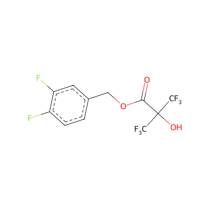 O=C(OCc1ccc(F)c(F)c1)C(O)(C(F)(F)F)C(F)(F)F